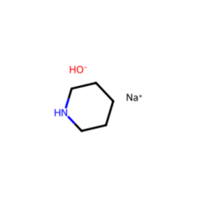 C1CCNCC1.[Na+].[OH-]